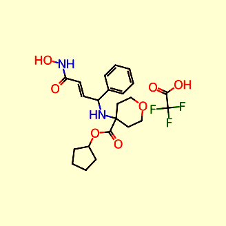 O=C(/C=C/C(NC1(C(=O)OC2CCCC2)CCOCC1)c1ccccc1)NO.O=C(O)C(F)(F)F